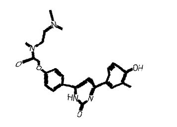 Cc1cc(-c2cc(-c3ccc(OCC(=O)N(C)CCN(C)C)cc3)[nH]c(=O)n2)ccc1O